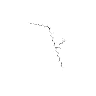 CCCCCCCC/C=C\CCCCCCCC(CCCCCCCCC)N(C)CCS